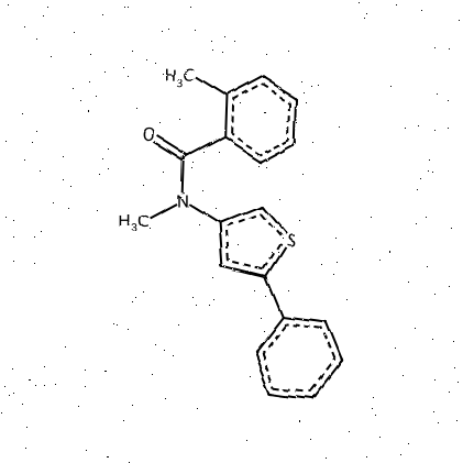 Cc1ccccc1C(=O)N(C)c1csc(-c2ccccc2)c1